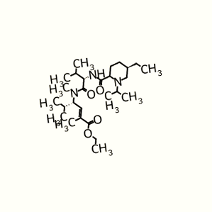 CCOC(=O)/C(C)=C/[C@H](C(C)C)N(C)C(=O)[C@@H](NC(=O)C1CC[C@@H](CC)CN1C(C)C)C(C)C